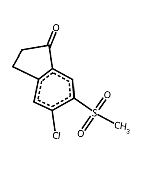 CS(=O)(=O)c1cc2c(cc1Cl)CCC2=O